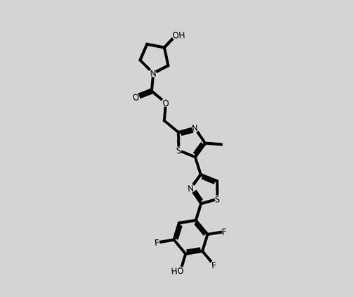 Cc1nc(COC(=O)N2CCC(O)C2)sc1-c1csc(-c2cc(F)c(O)c(F)c2F)n1